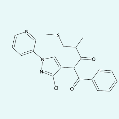 CSCC(C)C(=O)C(C(=O)c1ccccc1)c1cn(-c2cccnc2)nc1Cl